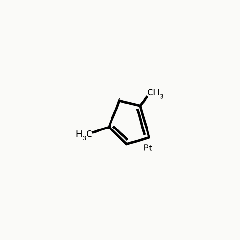 CC1=CC=C(C)[CH]1.[Pt]